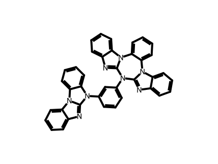 c1cc(-n2c3ccccc3n3c4ccccc4nc23)cc(-n2c3nc4ccccc4n3c3ccccc3n3c4ccccc4nc23)c1